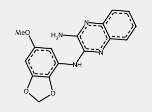 COc1cc(Nc2nc3ccccc3nc2N)c2c(c1)OCO2